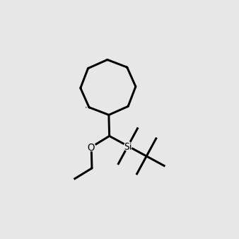 CCOC(C1[CH]CCCCCC1)[Si](C)(C)C(C)(C)C